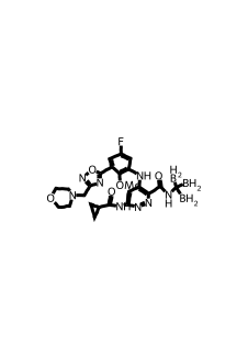 BC(B)(B)NC(=O)c1nnc(NC(=O)C2CC2)cc1Nc1cc(F)cc(-c2nc(CN3CCOCC3)no2)c1OC